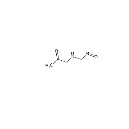 CC(=O)CNCN=O